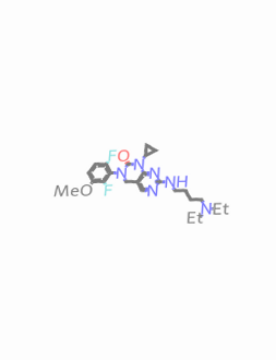 CCN(CC)CCCCNc1ncc2c(n1)N(C1CC1)C(=O)N(c1c(F)ccc(OC)c1F)C2